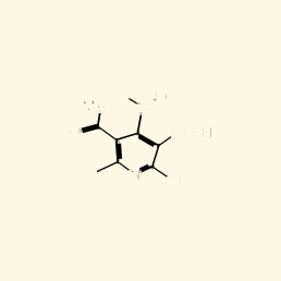 CC[S+]([O-])c1c(C(=O)O)c(C(F)(F)F)nc(C(F)(F)F)c1C(=O)OC